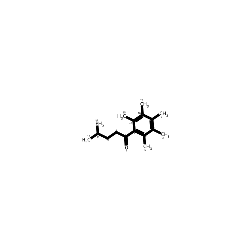 Cc1c(C)c(C)c(C(=O)CCC(C)P)c(C)c1C